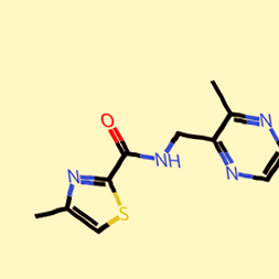 Cc1csc(C(=O)NCc2nccnc2C)n1